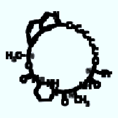 CC(C)[C@@H]1OCCCCCc2cc3cc(ccc3cn2)[C@@H](C)OC(=O)[C@@H]2CCCN(N2)C(=O)[C@H](C)NC1=O